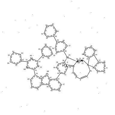 C=C1/C=C\C=C/CC2(c3ccccc3-c3ccccc32)c2cccc(N(c3ccc(-c4ccccc4)cc3)c3ccc(-c4cccc5c4oc4c(-c6nc(-c7ccccc7)nc(-c7ccccc7)n6)cccc45)cc3)c21